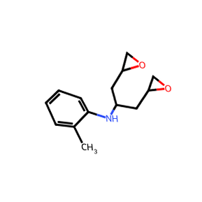 Cc1ccccc1NC(CC1CO1)CC1CO1